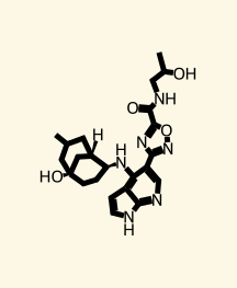 CC(O)CNC(=O)c1nc(-c2cnc3[nH]ccc3c2N[C@H]2CC[C@]3(O)CC(C)C[C@H]2C3)no1